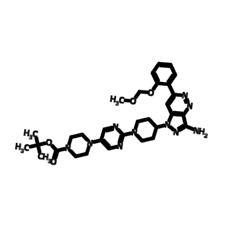 COCOc1ccccc1-c1cc2c(nn1)c(N)nn2C1CCN(c2ncc(N3CCN(C(=O)OC(C)(C)C)CC3)cn2)CC1